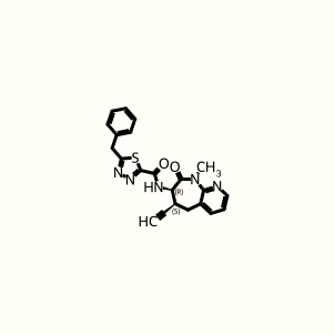 C#C[C@@H]1Cc2cccnc2N(C)C(=O)[C@@H]1NC(=O)c1nnc(Cc2ccccc2)s1